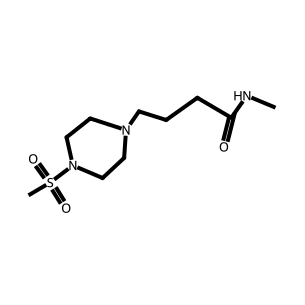 CNC(=O)CCCN1CCN(S(C)(=O)=O)CC1